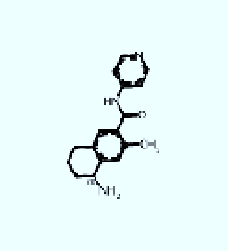 Cc1cc2c(cc1C(=O)Nc1ccncc1)CCC[C@@H]2N